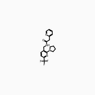 O=C(Cc1ccccn1)NCc1ccc(C(F)(F)F)nc1N1CCCC1